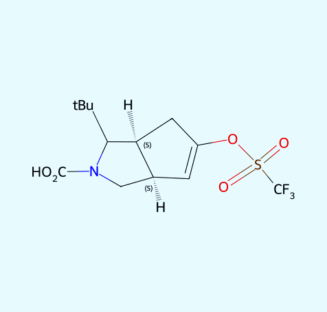 CC(C)(C)C1[C@H]2CC(OS(=O)(=O)C(F)(F)F)=C[C@H]2CN1C(=O)O